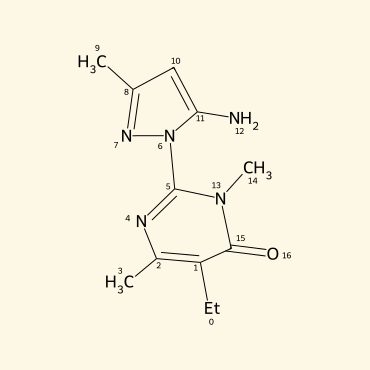 CCc1c(C)nc(-n2nc(C)cc2N)n(C)c1=O